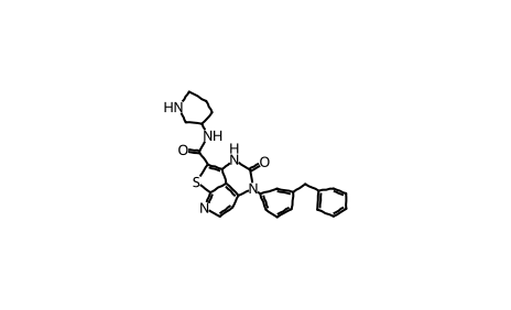 O=C(NC1CCCNC1)c1sc2nccc3c2c1NC(=O)N3c1cccc(Cc2ccccc2)c1